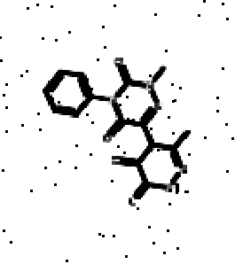 CC1=NNC(=O)C(=O)C1c1nn(C)c(=O)n(-c2ccccc2)c1=O